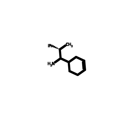 CC(C)[C@H](C)C(N)C1CC=CCC1